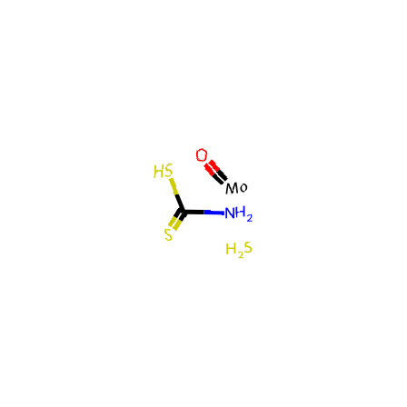 NC(=S)S.S.[O]=[Mo]